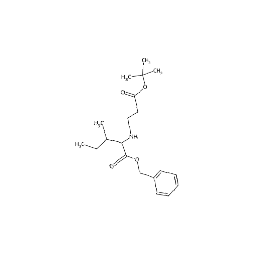 CCC(C)C(NCCC(=O)OC(C)(C)C)C(=O)OCc1ccccc1